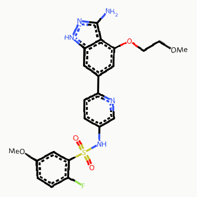 COCCOc1cc(-c2ccc(NS(=O)(=O)c3cc(OC)ccc3F)cn2)cc2[nH]nc(N)c12